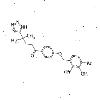 CCCc1c(COc2ccc(C(=O)CCC(C)(C)c3nnn[nH]3)cc2)ccc(C(C)=O)c1O